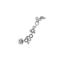 C[C@H](c1cccc(-c2ncc(OCC3CCN(C(=O)OC(C)(C)C)CC3)cn2)c1)n1cc(B2OC(C)(C)C(C)(C)O2)cc(F)c1=O